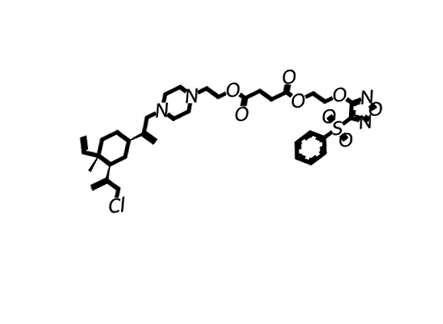 C=C[C@]1(C)CC[C@@H](C(=C)CN2CCN(CCOC(=O)CCC(=O)OCCOc3nonc3S(=O)(=O)c3ccccc3)CC2)C[C@H]1C(=C)CCl